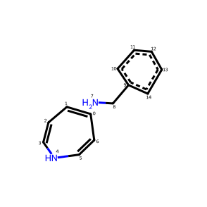 C1=CC=CNC=C1.NCc1ccccc1